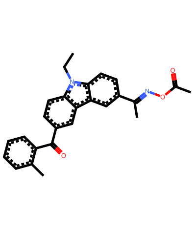 CCn1c2ccc(C(=O)c3ccccc3C)cc2c2cc(C(C)=NOC(C)=O)ccc21